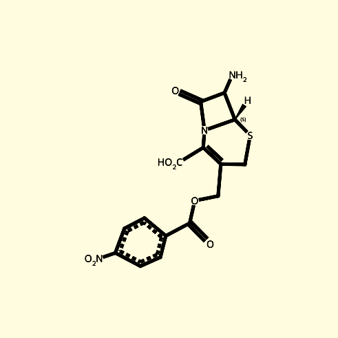 NC1C(=O)N2C(C(=O)O)=C(COC(=O)c3ccc([N+](=O)[O-])cc3)CS[C@@H]12